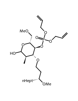 C=CCOP(=O)(OCC=C)O[C@H]1[C@H](OCC[C@@H](CCCCCCC)OC)[C@@H](C)C(O)O[C@@H]1COC